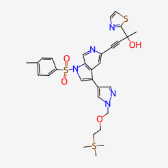 Cc1ccc(S(=O)(=O)n2cc(-c3cnn(COCCS(C)(C)C)c3)c3cc(C#CC(C)(O)c4nccs4)ncc32)cc1